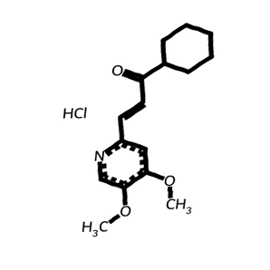 COc1cnc(C=CC(=O)C2CCCCC2)cc1OC.Cl